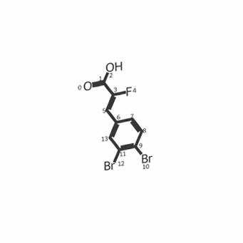 O=C(O)C(F)=Cc1ccc(Br)c(Br)c1